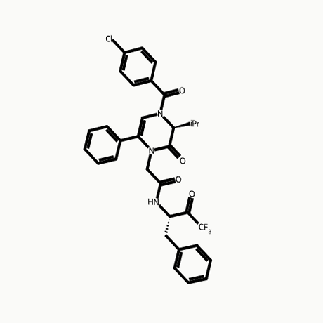 CC(C)[C@H]1C(=O)N(CC(=O)N[C@@H](Cc2ccccc2)C(=O)C(F)(F)F)C(c2ccccc2)=CN1C(=O)c1ccc(Cl)cc1